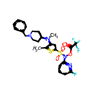 Cc1sc(S(=O)(=O)N(OC(=O)C(F)(F)F)c2cccc(F)n2)cc1N(C)C1CCN(Cc2ccccc2)CC1